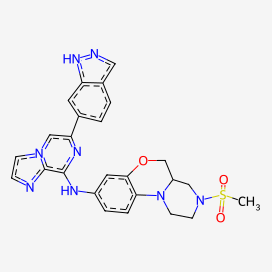 CS(=O)(=O)N1CCN2c3ccc(Nc4nc(-c5ccc6cn[nH]c6c5)cn5ccnc45)cc3OCC2C1